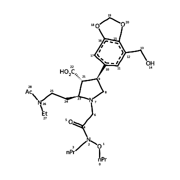 CCCON(CCC)C(=O)CN1C[C@H](c2cc(CO)c3c(c2)OCO3)[C@@H](C(=O)O)[C@@H]1CCN(CC)C(C)=O